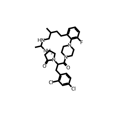 CC(CCc1cccc(F)c1N1CCN(C(=O)C(Cc2ccc(Cl)cc2Cl)N2CCCC2=O)CC1)CNC(C)N